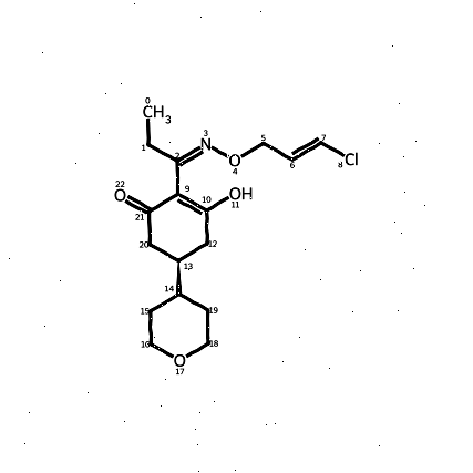 CC/C(=N/OC/C=C/Cl)C1=C(O)C[C@@H](C2CCOCC2)CC1=O